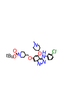 CN1CCC(Oc2cc(OCC3CCN(C(=O)OC(C)(C)C)CC3)cc3ncnc(Nc4cccc(Cl)c4)c23)CC1